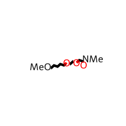 CNC(=O)COCCOCCCCCOC